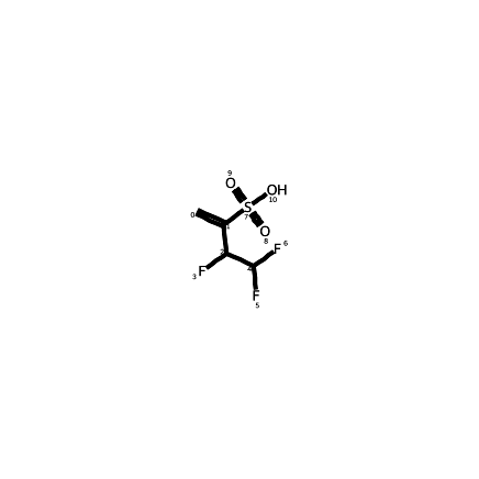 C=C(C(F)C(F)F)S(=O)(=O)O